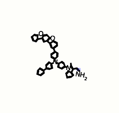 Cc1c(/C=C\N)c2ccccc2n1-c1ccc(N(c2ccc(-c3ccccc3)cc2)c2ccc(-c3ccc4oc5cc6oc7ccccc7c6cc5c4c3)cc2)cc1